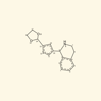 c1ccc2c(c1)CCNC2c1csc(C2OCCO2)c1